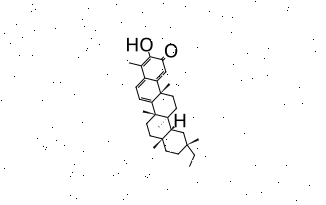 CC[C@]1(C)CC[C@]2(C)CC[C@]3(C)C4=CC=C5C(=CC(=O)C(O)=C5C)[C@]4(C)CC[C@@]3(C)[C@@H]2C1